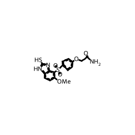 COc1ccc2[nH]c(S)nc2c1S(=O)(=O)c1ccc(OCC(N)=O)cc1